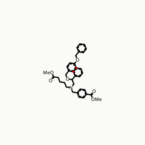 COC(=O)CCCCN(Cc1ccc(C(=O)OC)cc1)CC(OCc1ccc(OCc2ccccc2)cc1)c1ccccc1